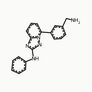 NCc1cccc(-c2cccc3nc(Nc4ccccc4)nn23)c1